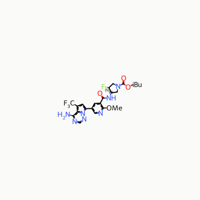 CCC(C)OC(=O)N1C[C@H](F)[C@H](NC(=O)c2cc(-c3cc(C(F)(F)F)c4c(N)ncnn34)cnc2OC)C1